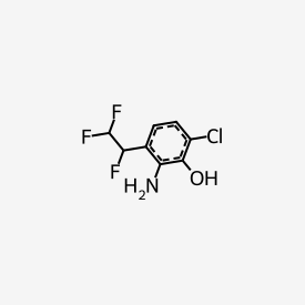 Nc1c(C(F)C(F)F)ccc(Cl)c1O